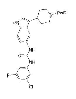 CCCC(C)N1CCC(c2c[nH]c3ccc(NC(=O)Nc4cc(F)cc(Cl)c4)cc23)CC1